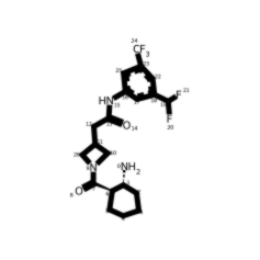 N[C@@H]1CCCC[C@H]1C(=O)N1CC(CC(=O)Nc2cc(C(F)F)cc(C(F)(F)F)c2)C1